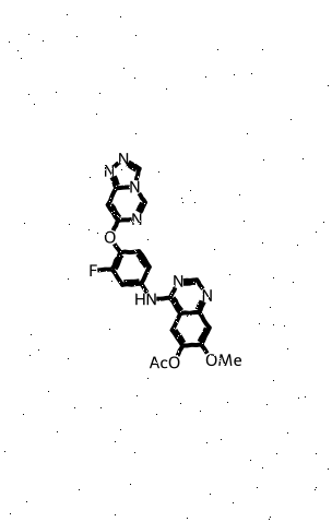 COc1cc2ncnc(Nc3ccc(Oc4cc5nncn5cn4)c(F)c3)c2cc1OC(C)=O